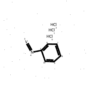 Cl.Cl.Cl.[V]=[N]c1ccccc1